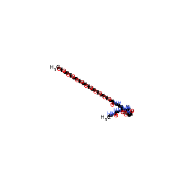 C/C=C/NC(=O)CCNC(=O)C(CCCCNC(=O)CCOCCOCCOCCOCCOCCOCCOCCOCCOCCOCCOCCOC)NC(=O)C(CN)N1C(=O)C=CC1=O